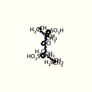 CN(C)CCCN1/C(=C/C=C2\CCCC(/C=C/CC(C)(C)c3cc(S(=O)(=O)O)ccc3NCCCC[N+](C)(C)C)=C2Cl)C(C)(C)c2cc(S(=O)(=O)O)ccc21